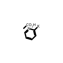 CC(=O)O.[K][c]1ccccn1